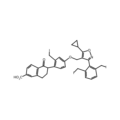 O=C(O)c1ccc2c(c1)CCC(c1ccc(OCc3c(-c4c(CI)cccc4CI)noc3C3CC3)cc1CI)C2=O